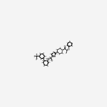 CC(Oc1ccccc1)C(=O)N1CCC(c2nc(C(=O)Nc3ccccc3-c3cccc(C(F)(F)F)c3)cs2)CC1